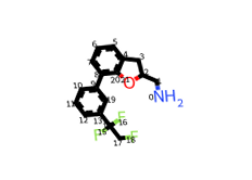 NCC1Cc2cccc(-c3cccc(C(F)(F)CF)c3)c2O1